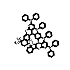 CC1(C)CCC(C)(C)c2cc3c(cc21)Oc1nc(N(c2ccccc2)c2ccccc2)cc2c1B3c1cc3c(cc1N2c1ccccc1)N(c1ccccc1)c1cc(N(c2ccccc2)c2ccccc2)nc2c1B3c1sc3ccccc3c1O2